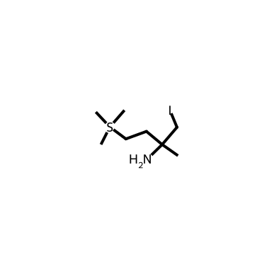 CC(N)(CI)CCS(C)(C)C